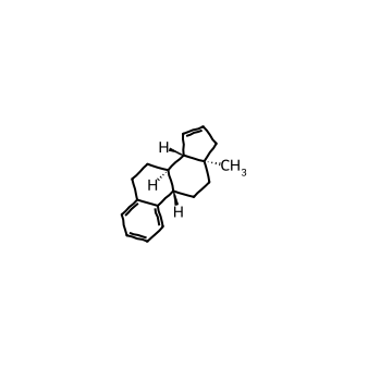 C[C@@]12CC=C[C@H]1[C@@H]1CCc3ccccc3[C@H]1CC2